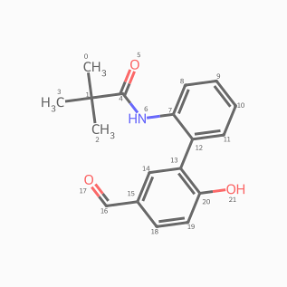 CC(C)(C)C(=O)Nc1ccccc1-c1cc(C=O)ccc1O